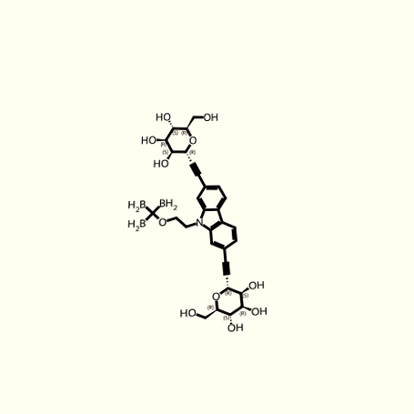 BC(B)(B)OCCn1c2cc(C#C[C@H]3O[C@H](CO)[C@@H](O)[C@H](O)[C@@H]3O)ccc2c2ccc(C#C[C@H]3O[C@H](CO)[C@@H](O)[C@H](O)[C@@H]3O)cc21